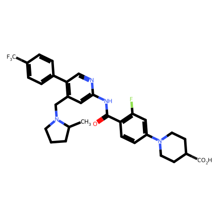 CC1CCCN1Cc1cc(NC(=O)c2ccc(N3CCC(C(=O)O)CC3)cc2F)ncc1-c1ccc(C(F)(F)F)cc1